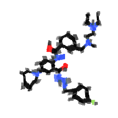 CCN(CC)CCN(C)Cc1cccc(C(=O)Nc2ccc(N3CCCCC3)cc2C(=O)NN=Cc2ccc(F)cc2)c1